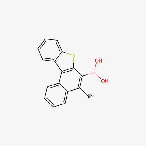 CC(C)c1c(B(O)O)c2sc3ccccc3c2c2ccccc12